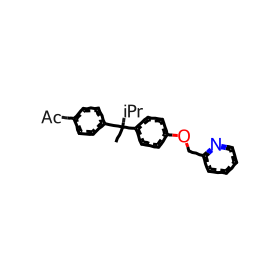 CC(=O)c1ccc(C(C)(c2ccc(OCc3ccccn3)cc2)C(C)C)cc1